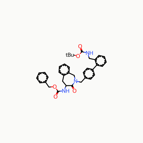 CC(C)(C)OC(=O)NCc1ccccc1-c1ccc(CN2Cc3ccccc3CC(NC(=O)OCc3ccccc3)C2=O)cc1